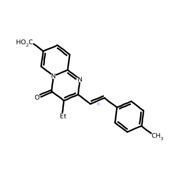 CCc1c(/C=C/c2ccc(C)cc2)nc2ccc(C(=O)O)cn2c1=O